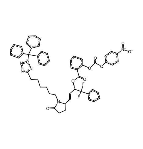 O=C(Oc1ccc([N+](=O)[O-])cc1)Oc1ccccc1C(=O)O[C@H](/C=C/[C@H]1CCC(=O)N1CCCCCCc1nnn(C(c2ccccc2)(c2ccccc2)c2ccccc2)n1)C(F)(F)c1ccccc1